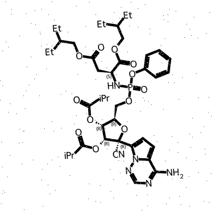 CCC(CC)COC(=O)C[C@H](NP(=O)(OC[C@H]1O[C@@](C#N)(c2ccc3c(N)ncnn23)[C@H](OC(=O)C(C)C)[C@@H]1OC(=O)C(C)C)Oc1ccccc1)C(=O)OCC(CC)CC